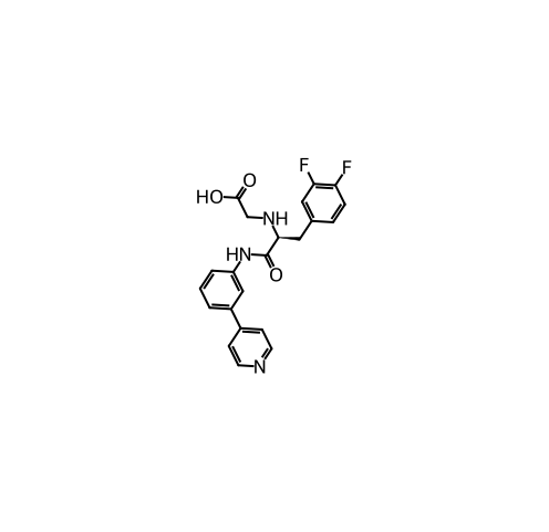 O=C(O)CN[C@@H](Cc1ccc(F)c(F)c1)C(=O)Nc1cccc(-c2ccncc2)c1